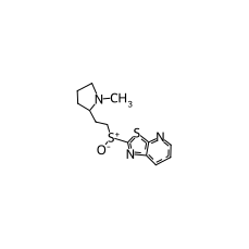 CN1CCCC1CC[S+]([O-])c1nc2cccnc2s1